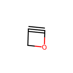 C1#COC1